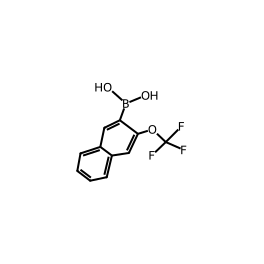 OB(O)c1cc2ccccc2cc1OC(F)(F)F